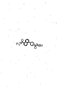 CC(C)(C)OC(=O)N1CCC(c2cccc3c(C(N)=O)cccc23)CC1